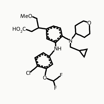 COCC(CC(=O)O)c1ccc(N(CC2CC2)C2CCOCC2)c(Nc2ccc(Cl)c(OC(F)F)c2)c1